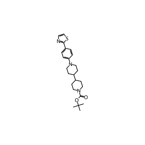 CC(C)(C)OC(=O)N1CCC(C2CCN(c3ccc(-c4nccs4)cc3)CC2)CC1